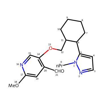 CCCn1nccc1C1CCCCC1COc1cnc(OC)cc1C=O